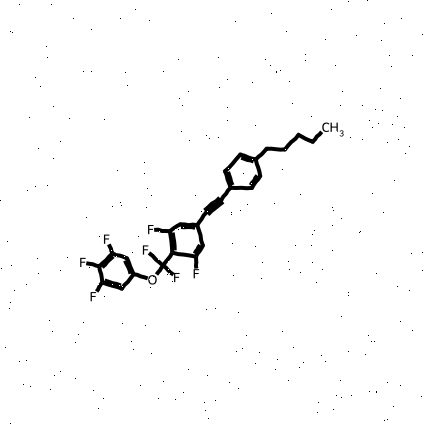 CCCCCc1ccc(C#Cc2cc(F)c(C(F)(F)Oc3cc(F)c(F)c(F)c3)c(F)c2)cc1